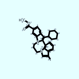 COC(=O)c1ccc2c(C3CCCCC3)c3n(c2c1)CCCn1cc(I)c2cccc-3c21